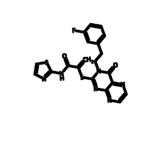 C=C(Sc1nc2nccnc2c(=O)n1CCc1cccc(F)c1)C(=O)Nc1nccs1